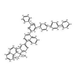 CC1(C)c2ccc(-c3ccc(-c4cc(-c5ccc(-c6ccc(-c7ccccc7)cc6)cc5)nc(-c5ccccc5)n4)c4ccccc34)cc2-c2ccc3ccccc3c21